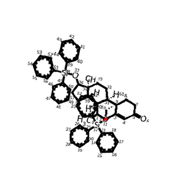 CC1CC2=CC(=O)CC[C@]2(CO[Si](c2ccccc2)(c2ccccc2)c2ccccc2)[C@@H]2CC[C@]3(C)C(O[Si](c4ccccc4)(c4ccccc4)c4ccccc4)CC[C@H]3[C@H]12